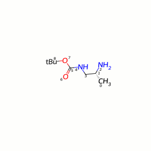 C[C@@H](N)CNC(=O)OC(C)(C)C